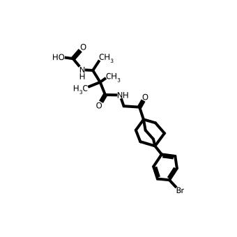 CC(NC(=O)O)C(C)(C)C(=O)NCC(=O)C12CCC(c3ccc(Br)cc3)(CC1)CC2